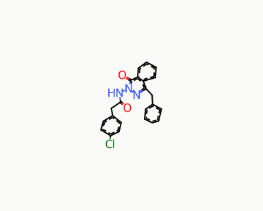 O=C(Cc1ccc(Cl)cc1)Nn1nc(Cc2ccccc2)c2ccccc2c1=O